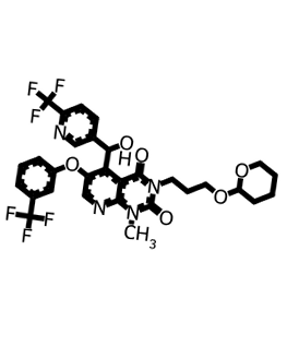 Cn1c(=O)n(CCCOC2CCCCO2)c(=O)c2c(C(O)c3ccc(C(F)(F)F)nc3)c(Oc3cccc(C(F)(F)F)c3)cnc21